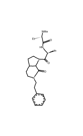 CC[C@H](NC)C(=O)N[C@H](C(=O)N1CCC2CCN(CCc3ccccc3)C(=O)C21)C(C)C